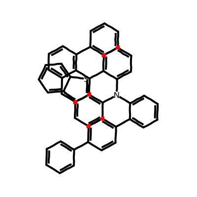 c1ccc(-c2ccc(-c3ccccc3N(c3ccccc3-c3cccc4cccc(-c5ccccc5)c34)c3cccc4c3sc3ccccc34)cc2)cc1